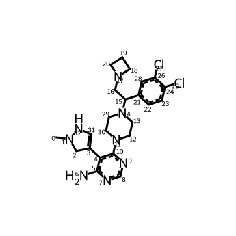 CN1CC(c2c(N)ncnc2N2CCN(C(CN3CCC3)c3ccc(Cl)c(Cl)c3)CC2)=CN1